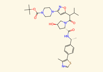 Cc1ncsc1-c1ccc([C@@H](C)NC(=O)[C@@H]2C[C@@H](O)CN2C(=O)C(c2cc(N3CCN(C(=O)OC(C)(C)C)CC3)no2)C(C)C)cc1